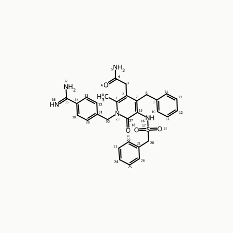 Cc1c(CC(N)=O)c(Cc2ccccc2)c(NS(=O)(=O)Cc2ccccc2)c(=O)n1Cc1ccc(C(=N)N)cc1